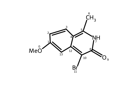 COc1ccc2c(C)[nH]c(=O)c(Br)c2c1